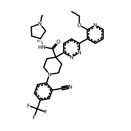 CCOc1ncccc1-c1ccc(C2(C(=O)N[C@@H]3CCN(C)C3)CCN(c3ccc(C(F)(F)F)cc3C#N)CC2)nn1